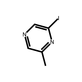 Cc1cncc(I)n1